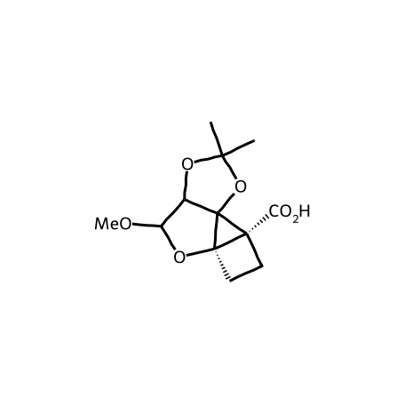 COC1O[C@]23CC[C@]2(C(=O)O)C32OC(C)(C)OC12